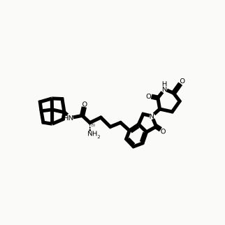 N[C@@H](CCCc1cccc2c1CN(C1CCC(=O)NC1=O)C2=O)C(=O)NC12CC3CC4CC(C1)C432